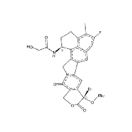 CC[C@@]1(OC(C)(C)C)C(=O)OCc2c1cc1n(c2=O)Cc2c-1cc1cc(F)c(C)c3c1c2[C@@H](NC(=O)CO)CC3